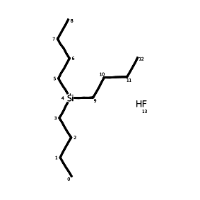 CCCC[Si](CCCC)CCCC.F